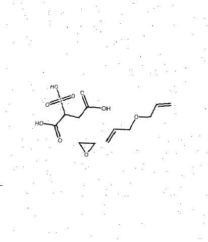 C1CO1.C=CCOCC=C.O=C(O)CC(C(=O)O)S(=O)(=O)O